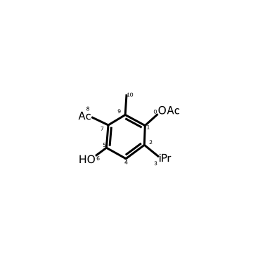 CC(=O)Oc1c(C(C)C)cc(O)c(C(C)=O)c1C